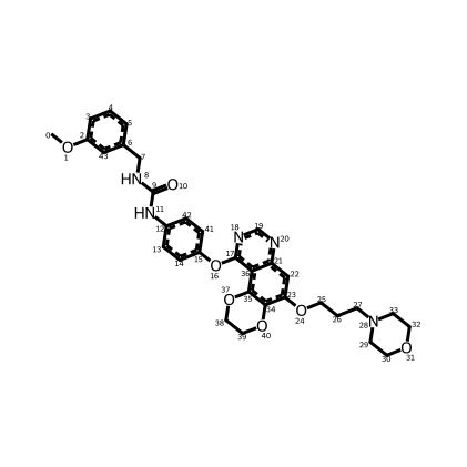 COc1cccc(CNC(=O)Nc2ccc(Oc3ncnc4cc(OCCCN5CCOCC5)c5c(c34)OCCO5)cc2)c1